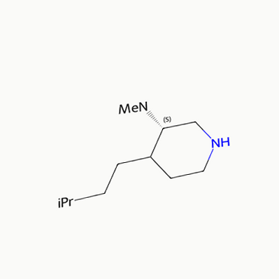 CN[C@@H]1CNCCC1CCC(C)C